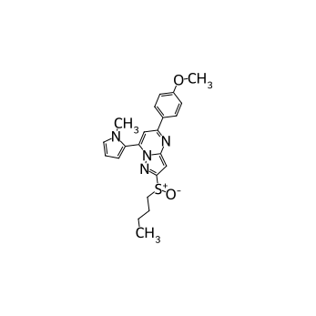 CCCC[S+]([O-])c1cc2nc(-c3ccc(OC)cc3)cc(-c3cccn3C)n2n1